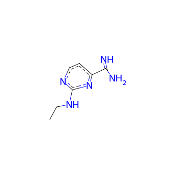 CCNc1nccc(C(=N)N)n1